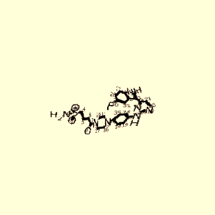 NS(=O)(=O)CCCC(=O)N1CCN(c2ccc(Nc3nccc(-c4c[nH]c5ccc(F)cc45)n3)cc2)CC1